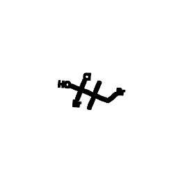 CC(C)(CBr)C(O)(Cl)Br